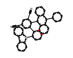 N#Cc1cc(C#N)c(-c2c3ccccc3c(-c3ccccc3)c3ccccc23)c(-c2ccccc2-n2c3ccccc3c3ccccc32)c1